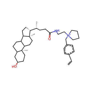 C=Cc1ccc(C[N+]2(CCNC(=O)CC[C@@H](C)[C@H]3CCC4C5CCC6C[C@H](O)CC[C@]6(C)C5CC[C@@]43C)CCCC2)cc1